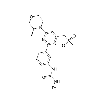 CCNC(=O)Nc1cccc(-c2nc(CS(C)(=O)=O)cc(N3CCOC[C@@H]3C)n2)c1